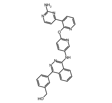 Nc1nccc(-c2cccnc2Oc2ccc(Nc3nnc(-c4cccc(CO)c4)c4ccccc34)cn2)n1